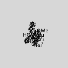 COC(=O)N[C@H](C(=O)N[C@@H](Cc1ccc(-c2ccccn2)cc1)C[C@H](O)[C@H](Cc1ccccc1)OC(=O)[C@@H](NC(=O)OC(C)(C)C)C(C)(C)C(N)=O)C(C)(C)C